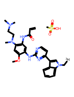 CS(=O)(=O)O.[2H]Cn1cc(-c2ccnc(Nc3cc(NC(=O)C=C)c(N(C)CCN(C)C)cc3OC)n2)c2ccccc21